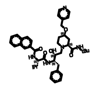 CC(C)[C@H](NC(=O)c1ccc2ccccc2c1)C(=O)N[C@@H](Cc1ccccc1)[C@H](O)CN1CC[C@@H](OCc2ccncc2)C[C@H]1C(=O)NC(C)(C)C